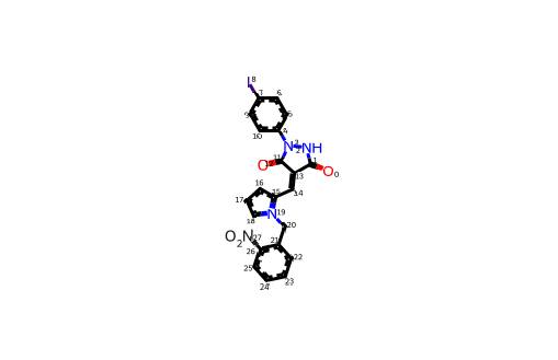 O=C1NN(c2ccc(I)cc2)C(=O)C1=Cc1cccn1Cc1ccccc1[N+](=O)[O-]